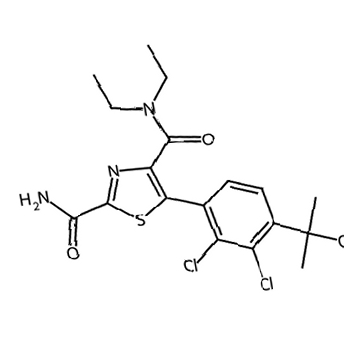 CCN(CC)C(=O)c1nc(C(N)=O)sc1-c1ccc(C(C)(C)O)c(Cl)c1Cl